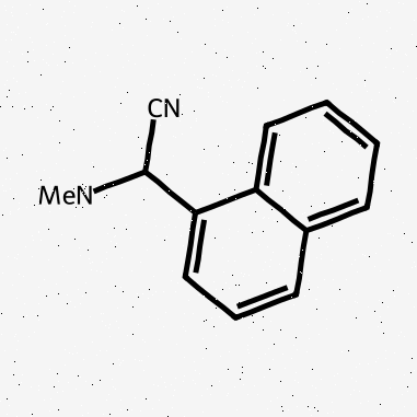 CNC(C#N)c1cccc2ccccc12